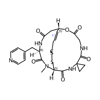 CN1C(=O)[C@@H](Cc2ccncc2)NC(=O)C[C@H]2/C=C/CCSSC[C@@H]1C(=O)NC1(CC1)C(=O)NCC(=O)O2